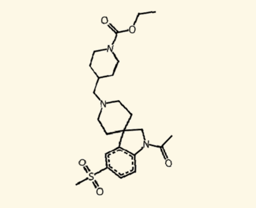 CCOC(=O)N1CCC(CN2CCC3(CC2)CN(C(C)=O)c2ccc(S(C)(=O)=O)cc23)CC1